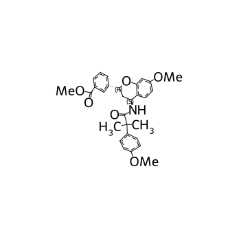 COC(=O)c1cccc([C@H]2C[C@H](NC(=O)C(C)(C)c3ccc(OC)cc3)c3ccc(OC)cc3O2)c1